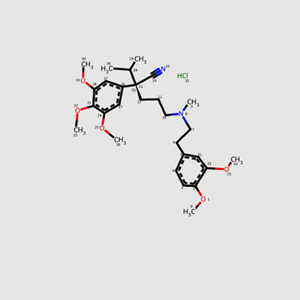 COc1ccc(CCN(C)CCC[C@@](C#N)(c2cc(OC)c(OC)c(OC)c2)C(C)C)cc1OC.Cl